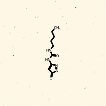 CCCCCNC(=O)NC1=CC(=O)N=N1